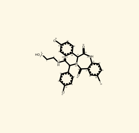 O=C(O)CCNC(=O)C(c1ccc(Cl)cc1)N1C(=O)c2cc(I)ccc2NC(=O)C1c1ccc(Cl)cc1